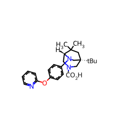 CC1(C)C[C@@]2(C(C)(C)C)CN(C(=O)O)C[C@H]1N(c1ccc(Oc3ccccn3)cc1)C2